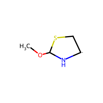 COC1N[CH]CS1